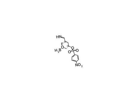 BOC[C@H](C[C@H](F)C=N)OS(=O)(=O)c1ccc([N+](=O)[O-])cc1